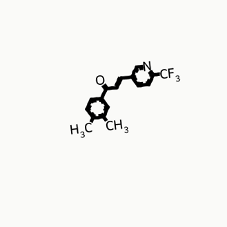 Cc1ccc(C(=O)C=Cc2ccc(C(F)(F)F)nc2)cc1C